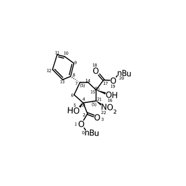 CCCCOC(=O)[C@]1(O)C[C@H](c2ccccc2)C[C@](O)(C(=O)OCCCC)[C@H]1[N+](=O)[O-]